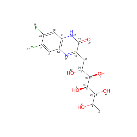 CC(O)[C@@H](O)[C@@H](O)[C@H](O)[C@H](O)Cc1nc2cc(F)c(F)cc2[nH]c1=O